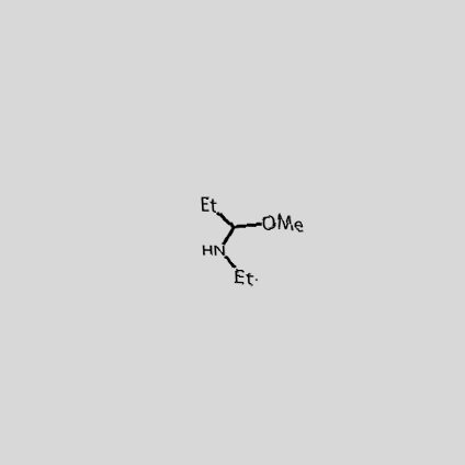 C[CH]NC(CC)OC